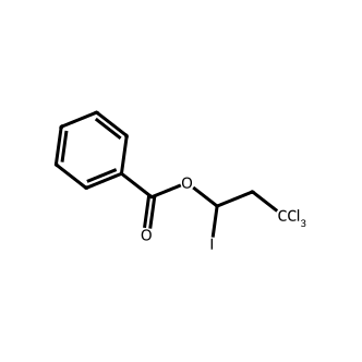 O=C(OC(I)CC(Cl)(Cl)Cl)c1ccccc1